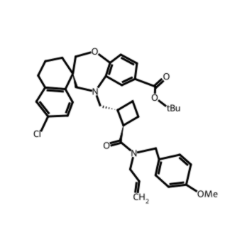 C=CCN(Cc1ccc(OC)cc1)C(=O)[C@@H]1CC[C@H]1CN1C[C@@]2(CCCc3cc(Cl)ccc32)COc2ccc(C(=O)OC(C)(C)C)cc21